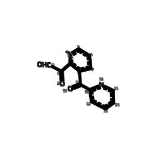 O=CC(=O)c1ncccc1C(=O)c1ccccn1